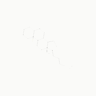 CC12CCC3C(CCC4CCCCC43S)C1CCC2CCCC(=O)O